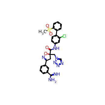 CS(=O)(=O)c1ccccc1-c1ccc(NC(=O)C2(Cn3cnnn3)CC(c3cccc(C(=N)N)c3)=NO2)cc1Cl